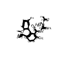 COc1ccc(F)cc1-c1c(C#N)ccc(O)c1C(=O)NC(=N)NC(C)=O